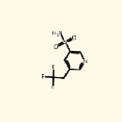 NS(=O)(=O)c1cncc(CC(F)(F)F)c1